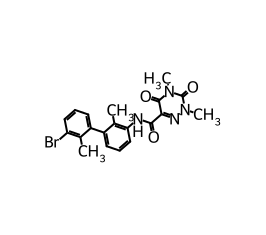 Cc1c(Br)cccc1-c1cccc(NC(=O)c2nn(C)c(=O)n(C)c2=O)c1C